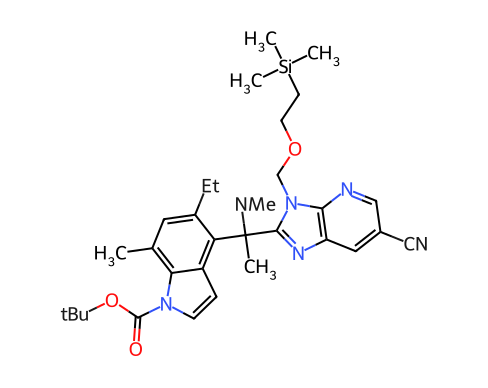 CCc1cc(C)c2c(ccn2C(=O)OC(C)(C)C)c1C(C)(NC)c1nc2cc(C#N)cnc2n1COCC[Si](C)(C)C